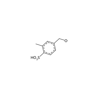 Cc1cc(C[O])ccc1S(=O)(=O)O